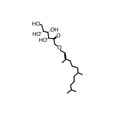 C/C(=C\COCC(=O)[C@H](O)[C@@H](O)[C@H](O)CO)CCCC(C)CCCC(C)C